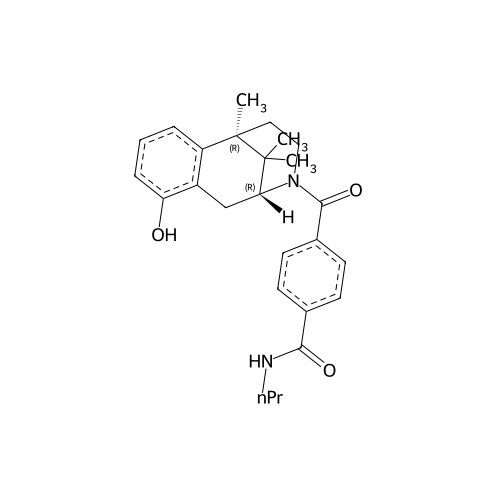 CCCNC(=O)c1ccc(C(=O)N2CC[C@]3(C)c4cccc(O)c4C[C@@H]2C3(C)C)cc1